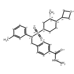 Cc1cccc(N(Cc2ccc(C(=O)NN)cn2)S(=O)(=O)N2CCN(C3COC3)[C@@H](C)C2)c1